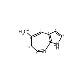 CC1=Cc2cc[nH]c2N=CC1